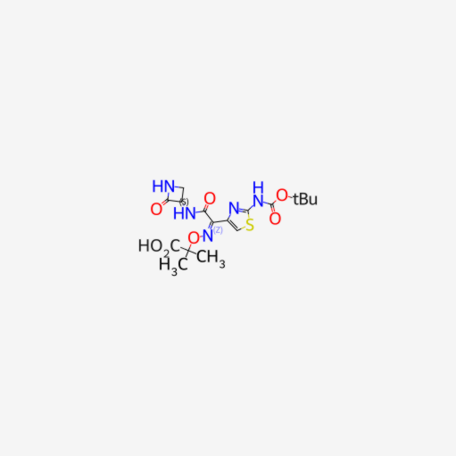 CC(C)(C)OC(=O)Nc1nc(/C(=N/OC(C)(C)C(=O)O)C(=O)N[C@H]2CNC2=O)cs1